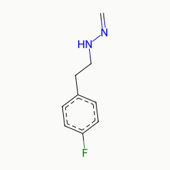 C=NNCCc1ccc(F)cc1